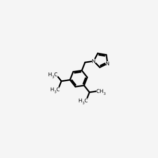 CC(C)c1cc(Cn2ccnc2)cc(C(C)C)c1